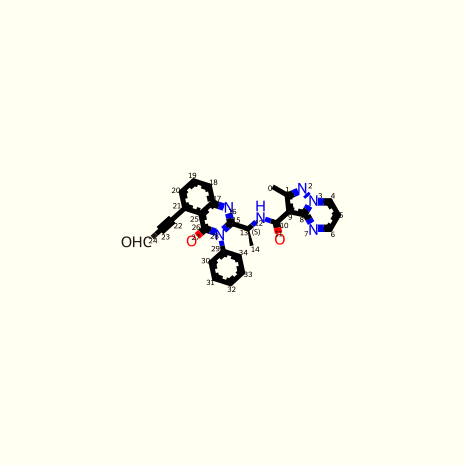 Cc1nn2cccnc2c1C(=O)N[C@@H](C)c1nc2cccc(C#CC=O)c2c(=O)n1-c1ccccc1